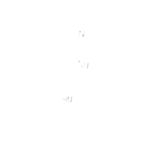 Cc1cccc(C)c1NCCNCc1ccccn1